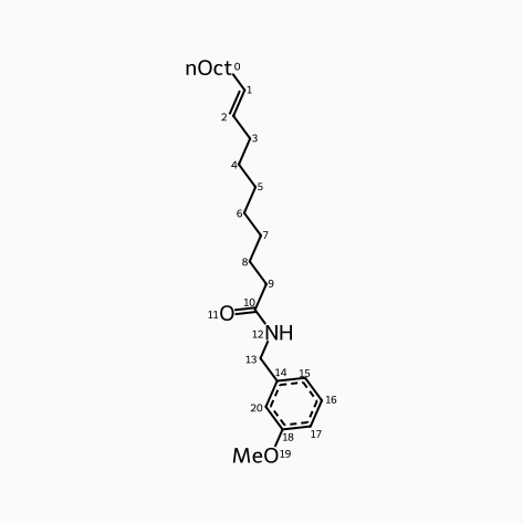 CCCCCCCCC=CCCCCCCCC(=O)NCc1cccc(OC)c1